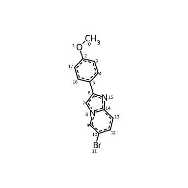 COc1ccc(-c2cn3cc(Br)ccc3n2)cc1